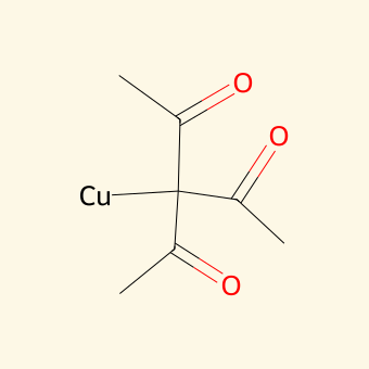 CC(=O)[C]([Cu])(C(C)=O)C(C)=O